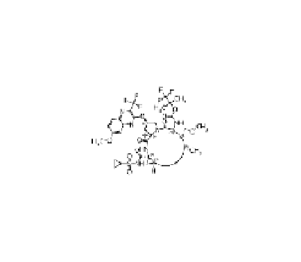 COC[C@@H]1C[C@H](C)CCCC[C@H]2C[C@@]2(C(=O)NS(=O)(=O)C2CC2)NC(=O)[C@@H]2C[C@@H](Oc3nc4cc(OC)ccc4nc3C(F)(F)F)CN2C(=O)[C@H]1NC(=O)OC(C)(C)C(F)(F)F